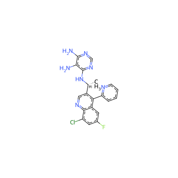 C[C@@H](Nc1ncnc(N)c1N)c1cnc2c(Cl)cc(F)cc2c1-c1ccccn1